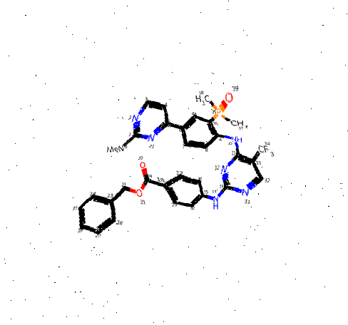 CNc1nccc(-c2ccc(Nc3nc(Nc4ccc(C(=O)OCc5ccccc5)cc4)ncc3C(F)(F)F)c(P(C)(C)=O)c2)n1